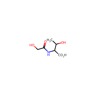 CC(O)C(NC(=O)CO)C(=O)O